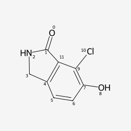 O=C1NCc2ccc(O)c(Cl)c21